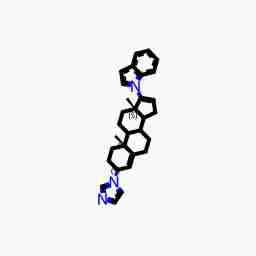 C[C@]12CC[C@H](n3ccnc3)C=C1CCC1C2CC[C@]2(C)C(n3ccc4ccccc43)=CCC12